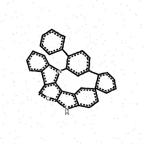 c1ccc(-c2ccc(-c3ccccc3)c(-n3c4ccccc4c4ccc5[nH]c6ccccc6c5c43)c2)cc1